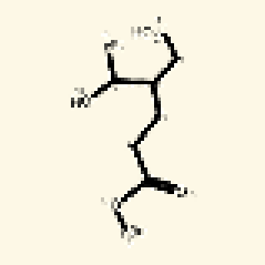 CCCCOC(=O)CCC(CC(=O)O)C(O)CCC